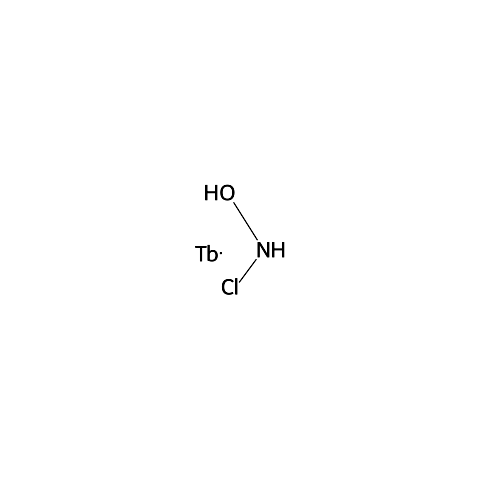 ONCl.[Tb]